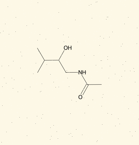 CC(=O)NCC(O)C(C)C